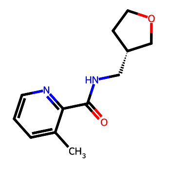 Cc1cccnc1C(=O)NC[C@@H]1CCOC1